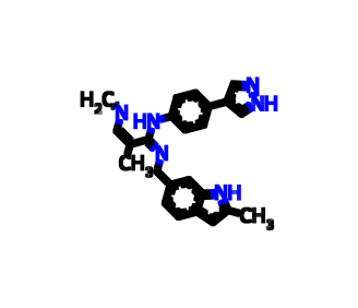 C=N/C=C(C)\C(=N/Cc1ccc2cc(C)[nH]c2c1)Nc1ccc(-c2cn[nH]c2)cc1